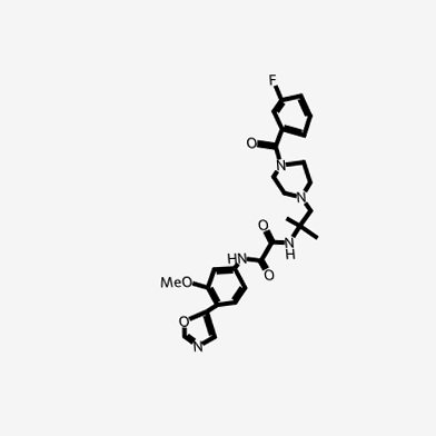 COc1cc(NC(=O)C(=O)NC(C)(C)CN2CCN(C(=O)c3cccc(F)c3)CC2)ccc1-c1cnco1